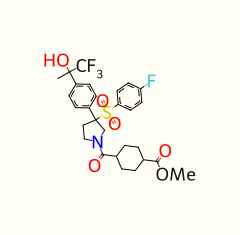 COC(=O)C1CCC(C(=O)N2CCC(c3ccc(C(C)(O)C(F)(F)F)cc3)(S(=O)(=O)c3ccc(F)cc3)C2)CC1